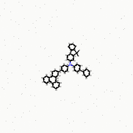 CC1(C)c2ccccc2-c2ccc(N(c3ccc(-c4ccccc4)cc3)c3ccc(-c4ccc5c6ccccc6c6ccccc6c5c4)cc3)cc21